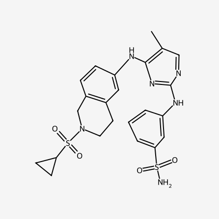 Cc1cnc(Nc2cccc(S(N)(=O)=O)c2)nc1Nc1ccc2c(c1)CCN(S(=O)(=O)C1CC1)C2